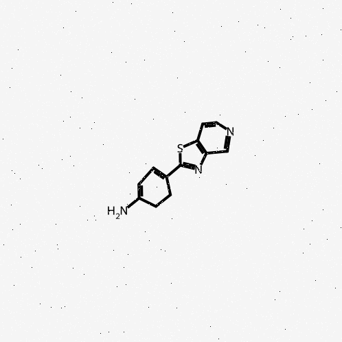 NC1=CC=C(c2nc3cnccc3s2)CC1